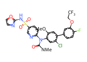 CNC(=O)N(c1ccc(S(=O)(=O)Nc2ncco2)cn1)c1cc(Cl)c(-c2ccc(F)c(OCC(F)(F)F)c2)cc1OC